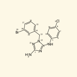 Nc1nc(Nc2ccc(Cl)cc2)n(Cc2cccc(Br)c2)n1